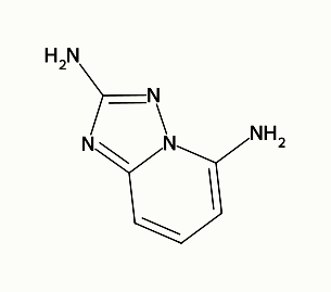 Nc1nc2cccc(N)n2n1